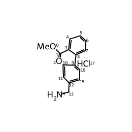 COC(=O)c1ccccc1-c1ccc(CN)cc1.Cl